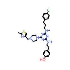 Cc1nc(CN2CCN(c3nc(NCCc4ccc(O)cc4)nc(N(C)CCCc4ccc(Cl)cc4)n3)CC2)cs1